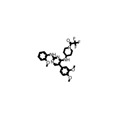 COc1ccccc1Nc1ncc(-c2ccc(OC)c(OC)c2)c(NC2CCN(C(=O)C(F)(F)F)CC2)n1